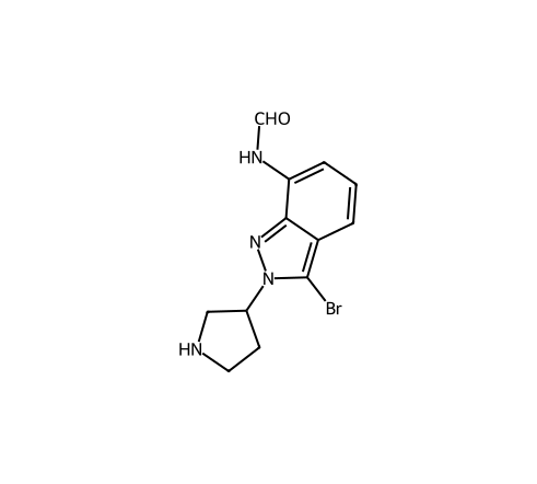 O=CNc1cccc2c(Br)n(C3CCNC3)nc12